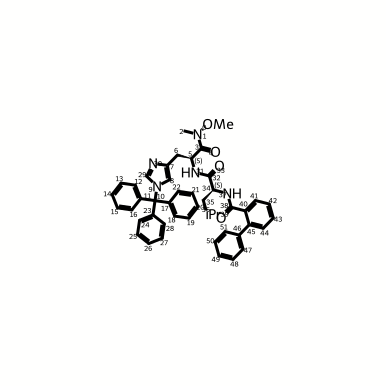 CON(C)C(=O)[C@H](Cc1cn(C(c2ccccc2)(c2ccccc2)c2ccccc2)cn1)NC(=O)[C@H](CC(C)C)NC(=O)c1ccccc1-c1ccccc1